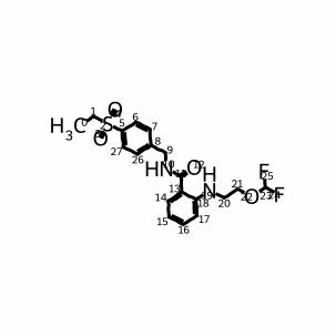 CCS(=O)(=O)c1ccc(CNC(=O)c2ccccc2NCCOC(F)F)cc1